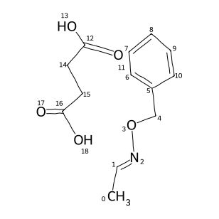 CC=NOCc1ccccc1.O=C(O)CCC(=O)O